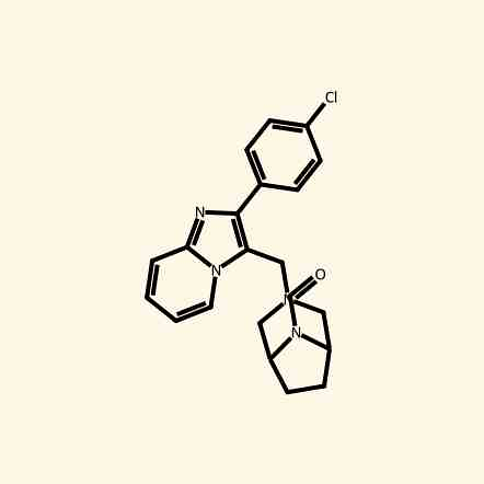 O=CN1C2CCC1CN(Cc1c(-c3ccc(Cl)cc3)nc3ccccn13)C2